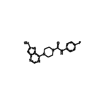 CC(C)(C)c1cc2ncnc(N3CCN(C(=O)Nc4ccc(F)cc4)CC3)c2s1